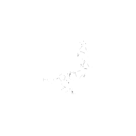 CC(=O)N1CC(n2c(Cc3cc(F)c(-c4cccc(OCc5ccc(C#N)cc5F)n4)cc3F)nc3ccc(C(=O)O)cc32)C2(CC2)C1